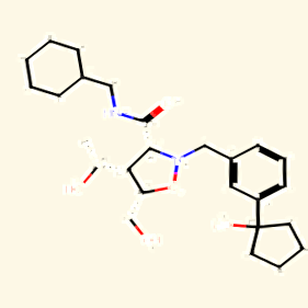 C[C@@H](O)[C@H]1[C@@H](CO)ON(Cc2cccc(C3(O)CCCC3)c2)[C@H]1C(=O)NCC1CCCCC1